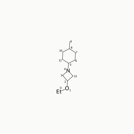 CCOC1CN(C2CCC(C)CC2)C1